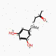 CCC(C)=O.COc1cc(O)cc(O)c1